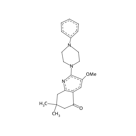 COc1cc2c(nc1N1CCN(c3ccccc3)CC1)CC(C)(C)CC2=O